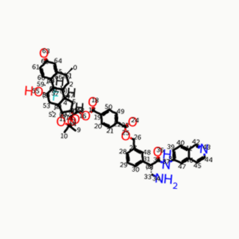 C[C@H]1C[C@H]2[C@@H]3C[C@H]4OC(C)(C)O[C@@]4(C(=O)COC(=O)c4ccc(C(=O)OCc5cccc([C@@H](CN)C(=O)Nc6ccc7cnccc7c6)c5)cc4)[C@@]3(C)C[C@H](O)[C@]2(F)[C@@]2(C)C=CC(=O)C=C12